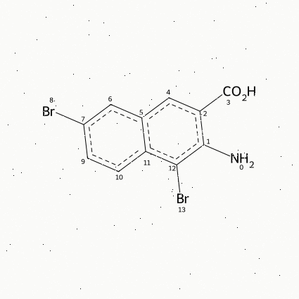 Nc1c(C(=O)O)cc2cc(Br)ccc2c1Br